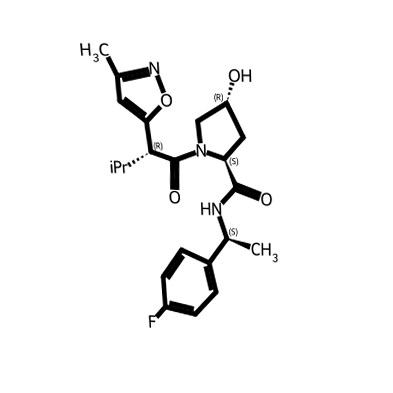 Cc1cc([C@H](C(=O)N2C[C@H](O)C[C@H]2C(=O)N[C@@H](C)c2ccc(F)cc2)C(C)C)on1